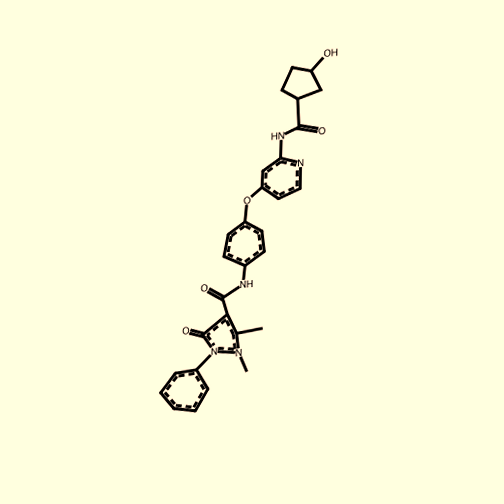 Cc1c(C(=O)Nc2ccc(Oc3ccnc(NC(=O)C4CCC(O)C4)c3)cc2)c(=O)n(-c2ccccc2)n1C